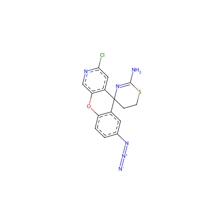 [N-]=[N+]=Nc1ccc2c(c1)C1(CCSC(N)=N1)c1cc(Cl)ncc1O2